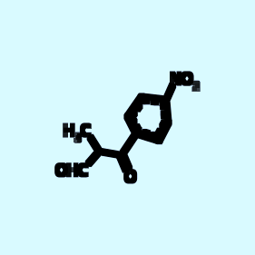 CC(C=O)C(=O)c1ccc([N+](=O)[O-])cc1